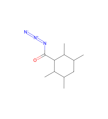 CC1CC(C)C(C)C(C(=O)N=[N+]=[N-])C1C